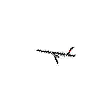 CCCCCCCCCCCCOCC(CN(CCO)CCCCCC(=O)OCC(CCCCCC)CCCCCCCC)OCCCCCCCC